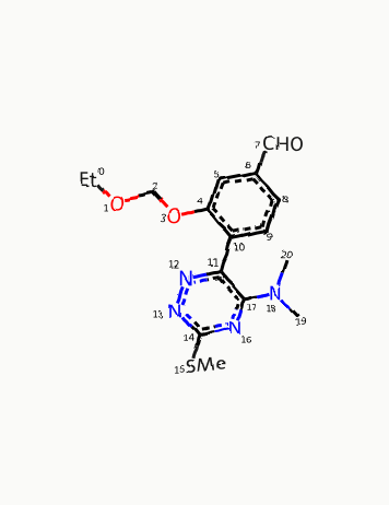 CCOCOc1cc(C=O)ccc1-c1nnc(SC)nc1N(C)C